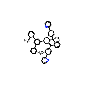 CC1C=CC=CC1c1cc(-c2ccccc2)cc(C2CCC3C(=C(C4=CC(C)C(c5ccccn5)C=C4)c4ccccc4C3(C)C3=CCC(c4ccccn4)C=C3)C2)c1